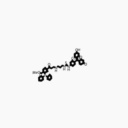 COC(=O)c1ccc(C(=O)CCNCCCNC(=S)Nc2ccc(-c3c4ccc(=O)cc-4oc4cc(O)ccc34)c(C(=O)O)c2)cc1P(c1ccccc1)c1ccccc1